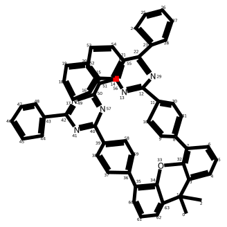 CC1(C)c2cccc(-c3ccc(-c4nc(-c5ccccc5)nc(-c5ccccc5)n4)cc3)c2Oc2c(-c3ccc(-c4nc(-c5ccccc5)nc(-c5ccccc5)n4)cc3)cccc21